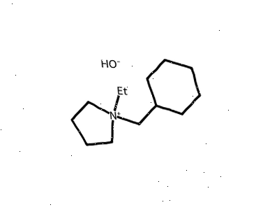 CC[N+]1(CC2CCCCC2)CCCC1.[OH-]